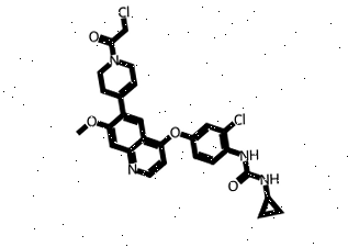 COc1cc2nccc(Oc3ccc(NC(=O)NC4CC4)c(Cl)c3)c2cc1C1=CCN(C(=O)CCl)CC1